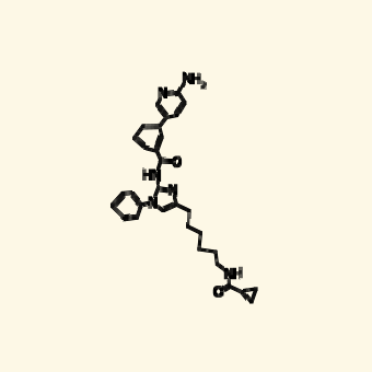 Nc1ccc(-c2cccc(C(=O)Nc3nc(CCCCCCNC(=O)C4CC4)cn3-c3ccccc3)c2)cn1